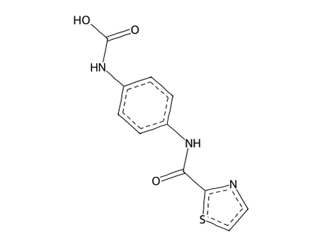 O=C(O)Nc1ccc(NC(=O)c2nccs2)cc1